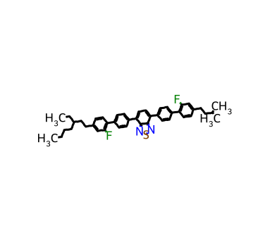 CCCCC(CC)CCc1ccc(-c2ccc(-c3ccc(-c4ccc(-c5ccc(CCC(C)C)cc5F)cc4)c4nsnc34)cc2)c(F)c1